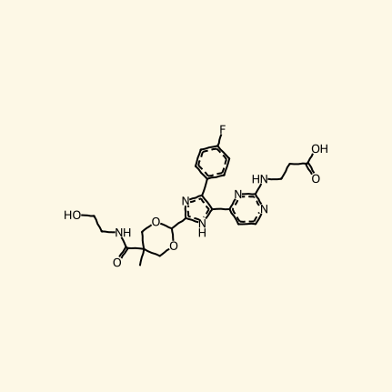 CC1(C(=O)NCCO)COC(c2nc(-c3ccc(F)cc3)c(-c3ccnc(NCCC(=O)O)n3)[nH]2)OC1